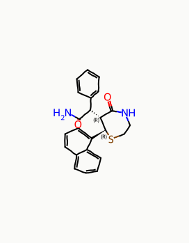 NC(=O)C(c1ccccc1)[C@@H]1C(=O)NCCS[C@H]1c1cccc2ccccc12